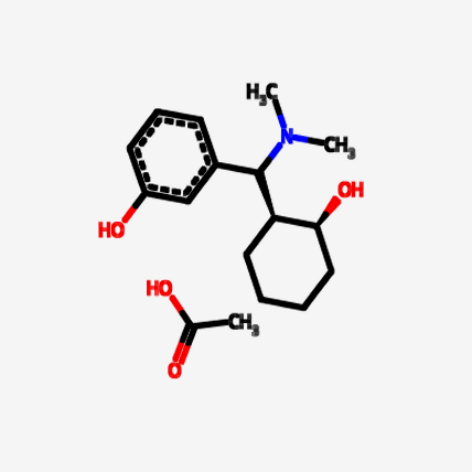 CC(=O)O.CN(C)C(c1cccc(O)c1)[C@@H]1CCCC[C@@H]1O